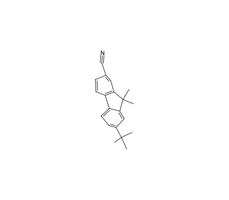 CC(C)(C)c1ccc2c(c1)C(C)(C)c1cc(C#N)ccc1-2